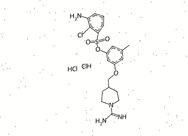 Cc1cc(OCC2CCN(C(=N)N)CC2)cc(OS(=O)(=O)c2cccc(N)c2Cl)c1.Cl.Cl